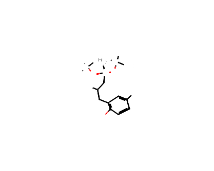 Cc1ccc(O)c(CC(C)C[Si](C)(O[Si](C)(C)C)O[Si](C)(C)C)c1